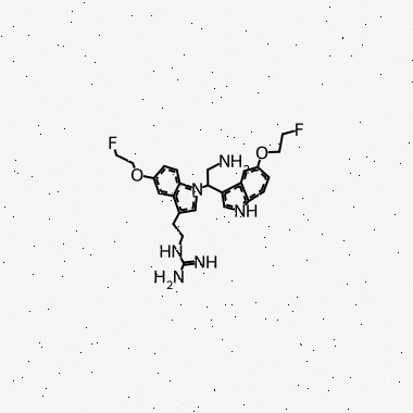 N=C(N)NCCc1cn(C(CN)c2c[nH]c3ccc(OCCF)cc23)c2ccc(OCCF)cc12